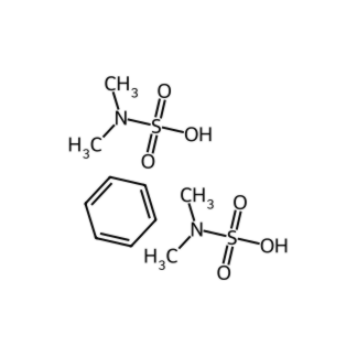 CN(C)S(=O)(=O)O.CN(C)S(=O)(=O)O.c1ccccc1